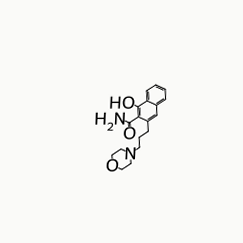 NC(=O)c1c(CCCN2CCOCC2)cc2ccccc2c1O